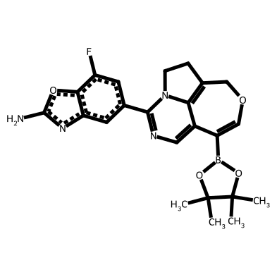 CC1(C)OB(C2=COCC3=C4C2=CN=C(c2cc(F)c5oc(N)nc5c2)N4CC3)OC1(C)C